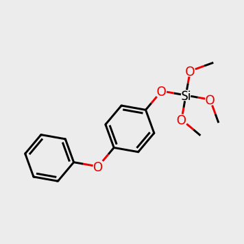 CO[Si](OC)(OC)Oc1ccc(Oc2ccccc2)cc1